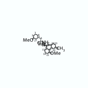 COc1cccc(CC(=O)NN=Cc2cccc(OC)c2-c2cc(C)ccc2S(=O)(=O)O)c1